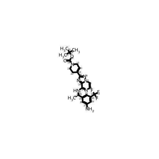 C[C@@H](Nc1nccn2nc(C3=CCN(C(=O)OC(C)(C)C)CC3)nc12)c1cc(N)cc(C(F)(F)F)c1